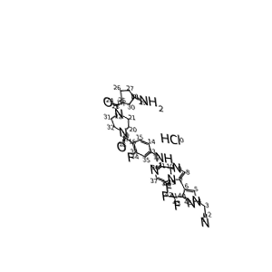 Cl.N#CCn1cc(-c2cnc3c(Nc4ccc(C(=O)N5CCN(C(=O)[C@H]6CC[C@@H](N)C6)CC5)c(F)c4)nccn23)c(C(F)(F)F)n1